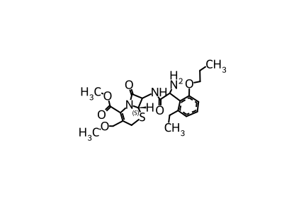 CCCOc1cccc(CC)c1C(N)C(=O)NC1C(=O)N2C(C(=O)OC)=C(COC)CS[C@@H]12